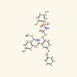 CC(C)CC(NC(=O)c1cc(COc2ccccc2)ccc1CCC(=O)NS(=O)(=O)c1cc(F)ccc1F)c1ccc(F)cc1